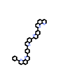 c1ccc(-c2ccc3ccc4ccc(-c5ccc(-c6ccc7ccc(-c8ccc9ccc(-c%10ccc%11ccc%12cccnc%12c%11n%10)cc9n8)cc7n6)cc5)nc4c3n2)cc1